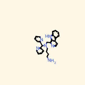 NCCCCN(Cc1nccc2c1[nH]c1ccccc12)C(c1ccccn1)c1ccccn1